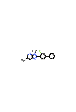 Cc1cnc2c(c1)nc(-c1ccc(-c3ccccc3)cc1F)n2C